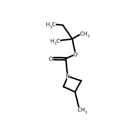 CCC(C)(C)OC(=O)N1CC(C)C1